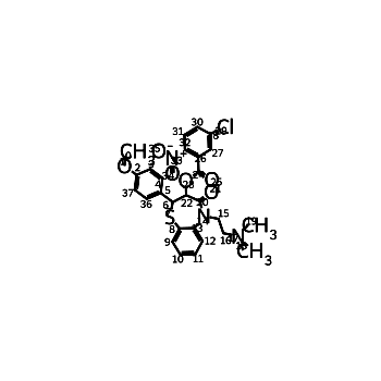 COc1ccc(C2Sc3ccccc3N(CCN(C)C)C(=O)C2OC(=O)c2cc(Cl)ccc2[N+](=O)[O-])cc1